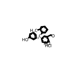 Cc1ccccc1C.Cl.Cl.O=Cc1ccccc1.Oc1ccccc1